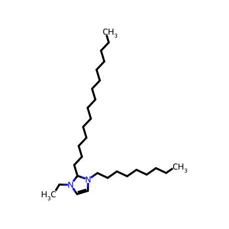 CCCCCCCCCCCCCCCC1N(CC)C=CN1CCCCCCCCC